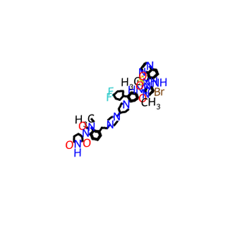 CCn1c(=O)n(C2CCC(=O)NC2=O)c2cccc(CCN3CCN(C4CCN(c5cc(OC)c(Nc6ncc(Br)c(Nc7ccc8nccnc8c7NS(C)(=O)=O)n6)cc5C5CCC(F)(F)CC5)CC4)CC3)c21